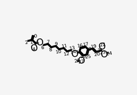 C=C(C)C(=O)OCCCCCCCCOc1ccc(C=CC(=O)OC)cc1OC